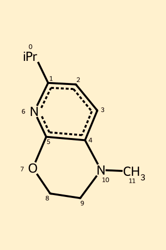 CC(C)c1ccc2c(n1)OCCN2C